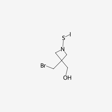 OCC1(CBr)CN(SI)C1